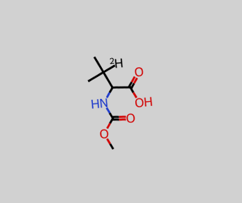 [2H]C(C)(C)C(NC(=O)OC)C(=O)O